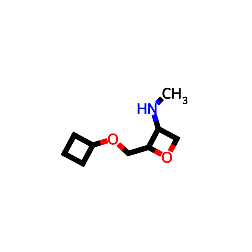 CNC1COC1COC1CCC1